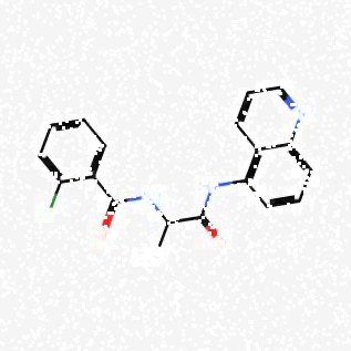 CC(NC(=O)c1ccccc1Cl)C(=O)Nc1cccc2ncccc12